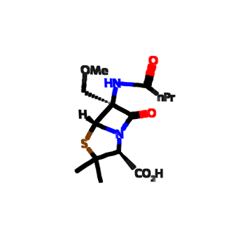 CCCC(=O)N[C@@]1(COC)C(=O)N2[C@@H](C(=O)O)C(C)(C)S[C@@H]21